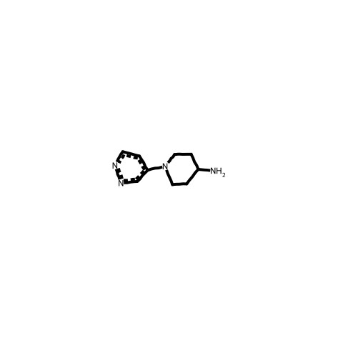 NC1CCN(c2ccnnc2)CC1